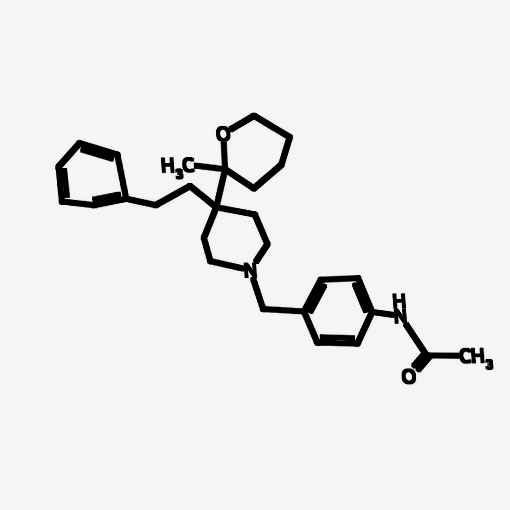 CC(=O)Nc1ccc(CN2CCC(CCc3ccccc3)(C3(C)CCCCO3)CC2)cc1